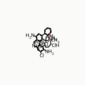 CCC1(c2c(-c3ccccc3)cc(N)c3cnc4cc(Cl)c(N)c(Cl)c4c23)[N+](C)(C)CCC[N+]1(C)C.Cl